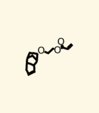 C=CC(=O)OCCOC1CC2CC1C1C=CCC21